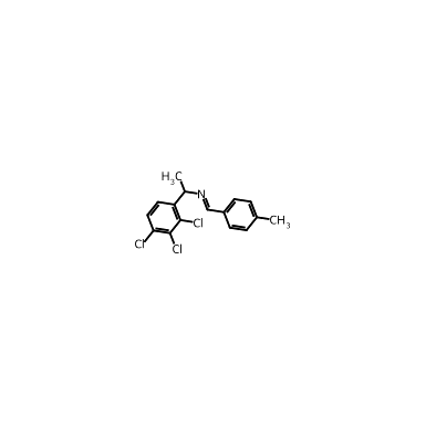 Cc1ccc(C=NC(C)c2ccc(Cl)c(Cl)c2Cl)cc1